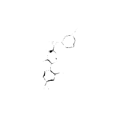 Cc1nc(N[C@@H]2CCCN(C)C2)nnc1-c1ccc(C(C)C)cc1O